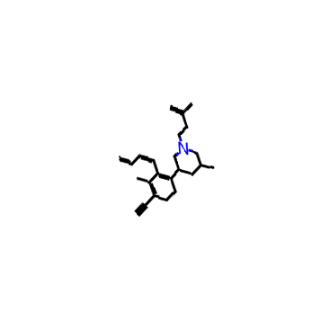 C#CC1=C(C)C(/C=C\C=C)=C(C2CC(C)CN(CCC(=C)C)C2)CC1